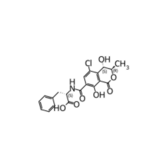 C[C@H]1OC(=O)c2c(O)c(C(=O)N[C@@H](Cc3ccccc3)C(=O)O)cc(Cl)c2[C@@H]1O